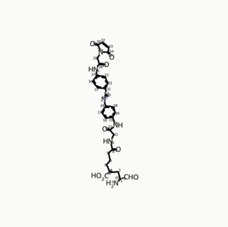 N[C@H](C=O)C[C@@H](CCCC(=O)NCC(=O)Nc1ccc(/N=N/c2ccc(NC(=O)CN3C(=O)C=CC3=O)cc2)cc1)C(=O)O